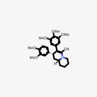 COc1ccc([C@H]2C[C@H]3CCCCN3C(C#N)=C2c2cc(OC)c(OC)c(OC)c2)cc1OC